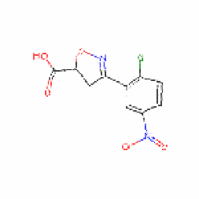 O=C(O)C1CC(c2cc([N+](=O)[O-])ccc2Cl)=NO1